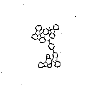 CC1(C)c2ccccc2-c2ccc(N(c3ccc(-c4ccc5c(c4)C4(c6ccccc6-5)c5ccccc5-n5c6ccccc6c6cccc4c65)cc3)c3cccc4c3-c3ccccc3C43c4ccccc4-c4ccccc43)cc21